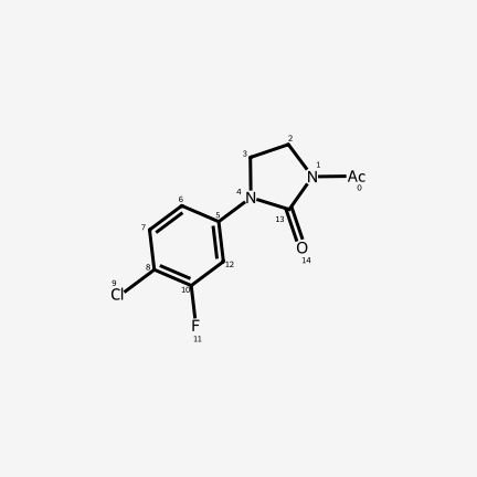 CC(=O)N1CCN(c2ccc(Cl)c(F)c2)C1=O